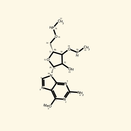 COc1nc(N)nc2c1ncn2[C@@H]1O[C@H](COPC)C(OPC)C1O